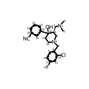 CN(C)C[C@H]1CN(Cc2ccc(F)cc2Cl)CC[C@]1(O)c1cccc(C#N)c1